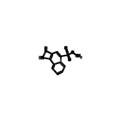 NOS(=O)(=O)c1cc2[nH][nH]c2c2ccccc12